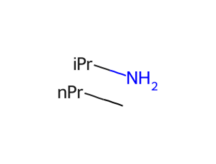 CC(C)N.CCCC